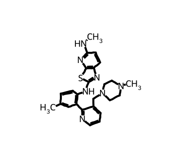 CNc1ccc2nc(Nc3ccc(C)cc3-c3ncccc3CN3CCN(C)CC3)sc2n1